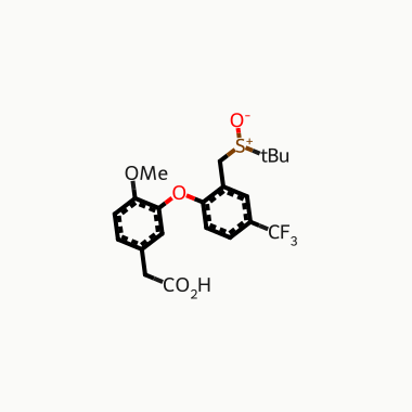 COc1ccc(CC(=O)O)cc1Oc1ccc(C(F)(F)F)cc1C[S+]([O-])C(C)(C)C